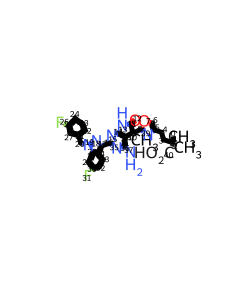 CC(C)(CCc1coc(C2(C)C(=O)Nc3nc(-c4nn(Cc5cccc(F)c5)c5cc(F)ccc45)nc(N)c32)n1)C(=O)O